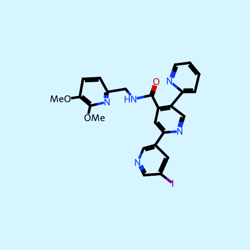 COc1ccc(CNC(=O)c2cc(-c3cncc(I)c3)ncc2-c2ccccn2)nc1OC